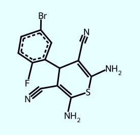 N#CC1=C(N)SC(N)=C(C#N)C1c1cc(Br)ccc1F